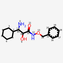 N[C@H](C1CCCCC1)C(O)C(=O)NOCc1ccccc1